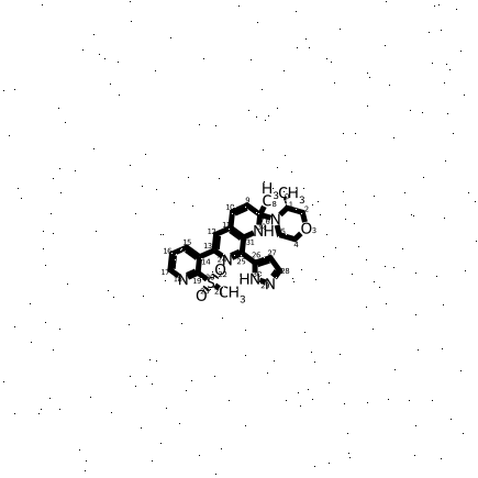 C[C@@H]1COCCN1C1(C)C=Cc2cc(-c3cccnc3S(C)(=O)=O)nc(-c3ccn[nH]3)c2N1